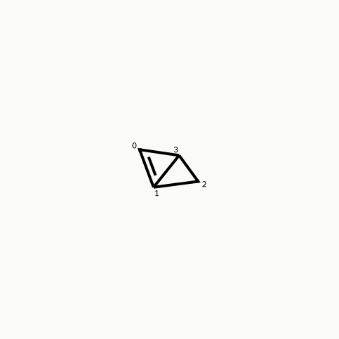 C1=C2CC12